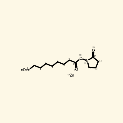 CCCCCCCCCCCCCCCCCC(=O)ON1CCCC1=O.[Zn]